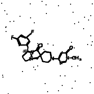 Cn1cnc(N2CCC3(CC2)CN2CC[C@@H](c4cc(F)cc(F)c4)N2C3=O)cc1=O